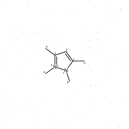 Cc1cc(C)[n+](C)n1C